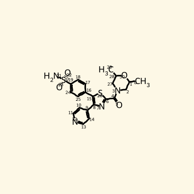 CC1CN(C(=O)c2nc(-c3ccncc3)c(-c3ccc(S(N)(=O)=O)cc3)s2)CC(C)O1